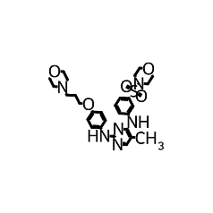 Cc1cnc(Nc2ccc(OCCCN3CCOCC3)cc2)nc1Nc1cccc(S(=O)(=O)N2CCOCC2)c1